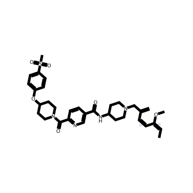 C=C(/C=C\C(=C/C)OC)CN1CCC(NC(=O)c2ccc(C(=O)N3CCC(Oc4ccc(S(C)(=O)=O)cc4)CC3)nc2)CC1